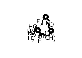 CC(C)(Cc1cccc(CC(=O)NCc2ccccc2C(F)(F)F)c1)NCC(O)c1ccc(O)c(NC(N)=O)c1